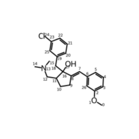 COc1cccc(C=C2CCC(CN(C)C)C2(O)Cc2cccc(Cl)c2)c1